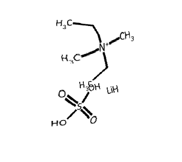 CC[N+](C)(C)CC.O=S(=O)(O)O.[LiH]